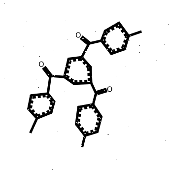 Cc1ccc(C(=O)c2cc(C(=O)c3ccc(C)cc3)cc(C(=O)c3ccc(C)cc3)c2)cc1